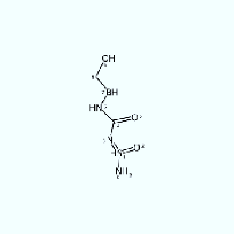 N/[SH](=O)=N/C(=O)NBCO